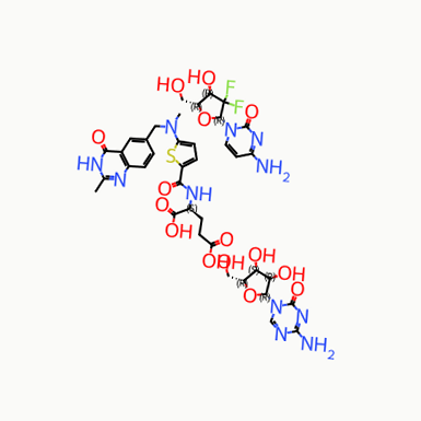 Cc1nc2ccc(CN(C)c3ccc(C(=O)N[C@@H](CCC(=O)O)C(=O)O)s3)cc2c(=O)[nH]1.Nc1ccn([C@@H]2O[C@H](CO)[C@@H](O)C2(F)F)c(=O)n1.Nc1ncn([C@@H]2O[C@H](CO)[C@@H](O)[C@H]2O)c(=O)n1